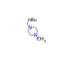 CCCCCN1CCN(C)CC1